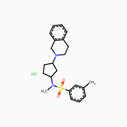 Cc1cccc(S(=O)(=O)N(C)C2CCC(N3CCc4ccccc4C3)C2)c1.Cl